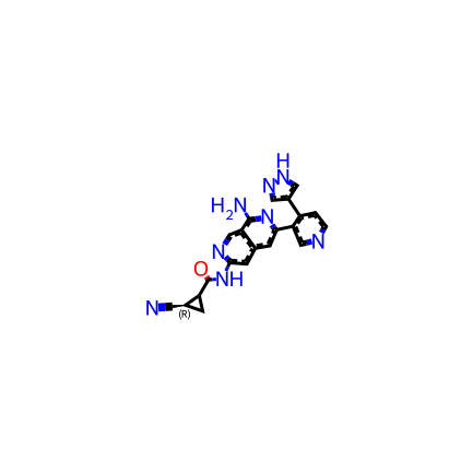 N#C[C@@H]1CC1C(=O)Nc1cc2cc(-c3cnccc3-c3cn[nH]c3)nc(N)c2cn1